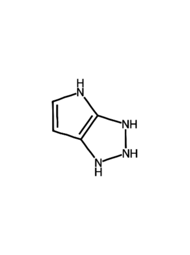 c1cc2c([nH]1)NNN2